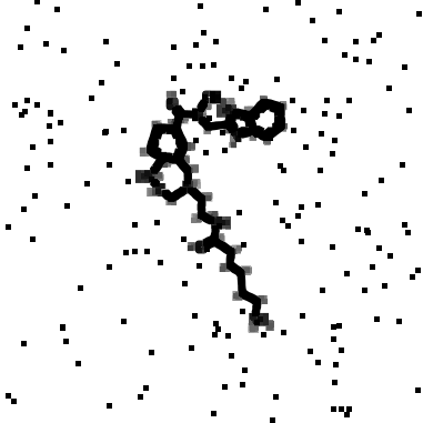 CN(Cc1nc2ccccc2[nH]1)C(=O)c1ccc2c(c1)CN(CCNC(=O)CCCCCN)CCN2